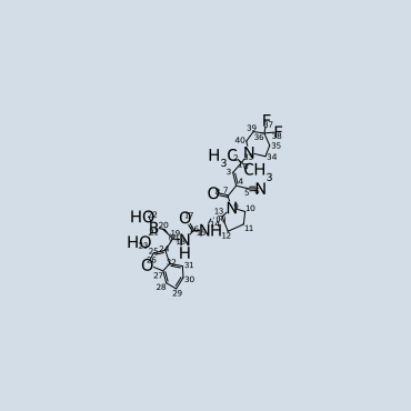 CC(C)(C=C(C#N)C(=O)N1CCC[C@@H]1CNC(=O)N[C@H](CB(O)O)c1coc2ccccc12)N1CCC(F)(F)CC1